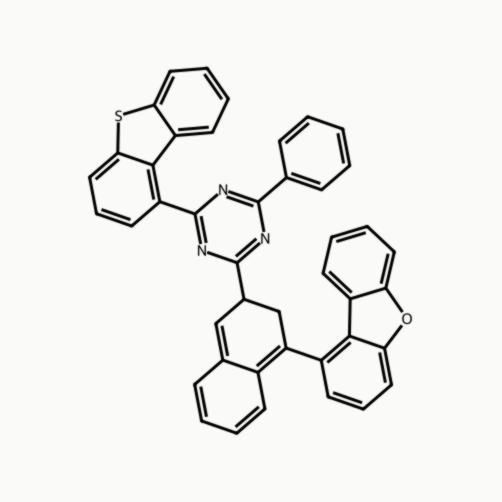 C1=c2ccccc2=C(c2cccc3oc4ccccc4c23)CC1c1nc(-c2ccccc2)nc(-c2cccc3sc4ccccc4c23)n1